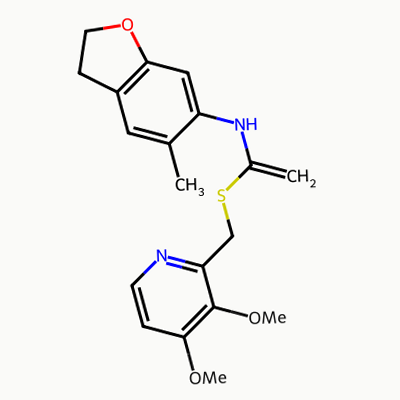 C=C(Nc1cc2c(cc1C)CCO2)SCc1nccc(OC)c1OC